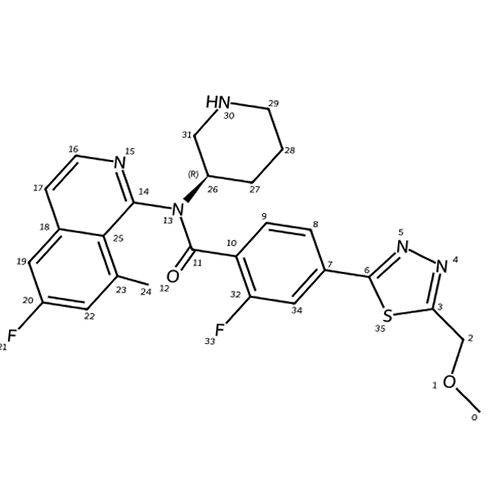 COCc1nnc(-c2ccc(C(=O)N(c3nccc4cc(F)cc(C)c34)[C@@H]3CCCNC3)c(F)c2)s1